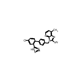 CCCc1nc2c(C)ccnc2n1Cc1ccc(-c2ccc(Cl)cc2-c2nnn[nH]2)cc1